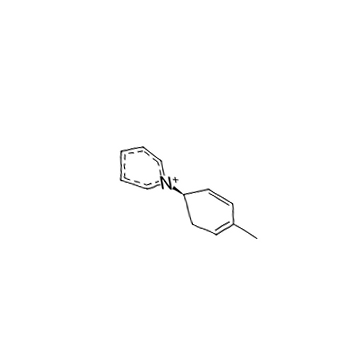 CC1=CC[C@@H]([n+]2ccccc2)C=C1